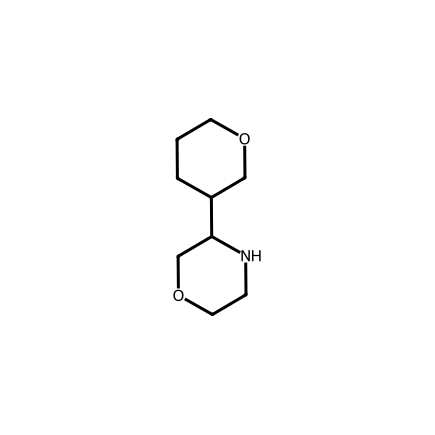 C1COCC(C2COCCN2)C1